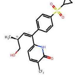 C[C@@H](/C=C(/c1ccc(S(=O)(=O)C2CC2)cc1)c1ccc(C(F)(F)F)c(=O)[nH]1)CO